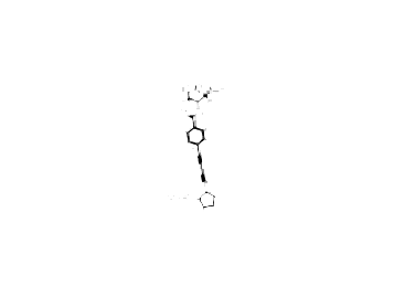 COC(=O)[C@@H](NC(=O)c1ccc(C#CC#C[C@H]2CCC[C@@H]2OC)cc1)C(C)(C)NCl